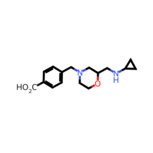 O=C(O)c1ccc(CN2CCOC(CNC3CC3)C2)cc1